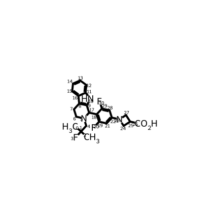 CC(C)(F)CN1CCc2c([nH]c3ccccc23)C1c1c(F)cc(N2CC(C(=O)O)C2)cc1F